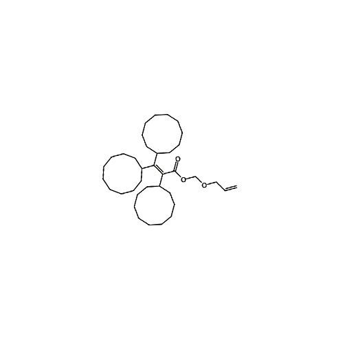 C=CCOCOC(=O)C(=C(C1CCCCCCCCC1)C1CCCCCCCCC1)C1CCCCCCCCC1